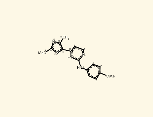 COc1ccc(Nc2nccc(-c3sc(OC)nc3C)n2)cc1